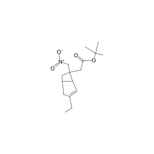 CCC1=CC2C(C1)CC2(CC(=O)OC(C)(C)C)C[N+](=O)[O-]